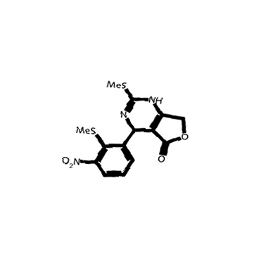 CSC1=NC(c2cccc([N+](=O)[O-])c2SC)C2=C(COC2=O)N1